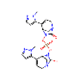 Cn1nccc1C1=CCN2CC1N(OS(=O)(=O)ON1C(=O)N3CC=C(c4ccnn4C)C1C3)C2=O